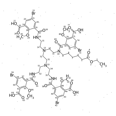 CCOC(=O)CCCCCN(CCN(CCNC(=O)c1cc(Br)cc(C(=O)O)c1OC)CCN(CCNC(=O)c1cc(Br)cc(C(=O)O)c1OC)CCNC(=O)c1cc(Br)cc(C(=O)O)c1OC)C(=O)c1cc(Br)cc(C(=O)O)c1OC